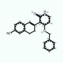 N#Cc1ccc2c(c1)CCC(c1c(OCc3ccccc3)cc[nH]c1=O)=C2